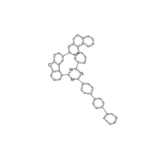 c1ccc(-c2ccc(-c3ccc(-c4nc(-c5ccccc5)nc(-c5cccc6oc7ccc(-c8ccc9c(ccc%10ccccc%109)c8)cc7c56)n4)cc3)cc2)cc1